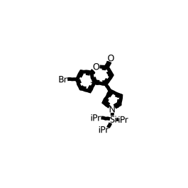 CC(C)[Si](C(C)C)(C(C)C)n1ccc(-c2cc(=O)oc3cc(Br)ccc23)c1